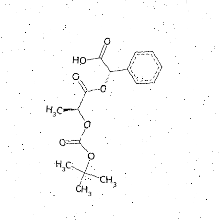 C[C@H](OC(=O)OC(C)(C)C)C(=O)O[C@H](C(=O)O)c1ccccc1